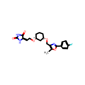 Cc1oc(-c2ccc(F)cc2)nc1CO[C@H]1CCC[C@@H](OCC=C2NC(=O)NC2=O)C1